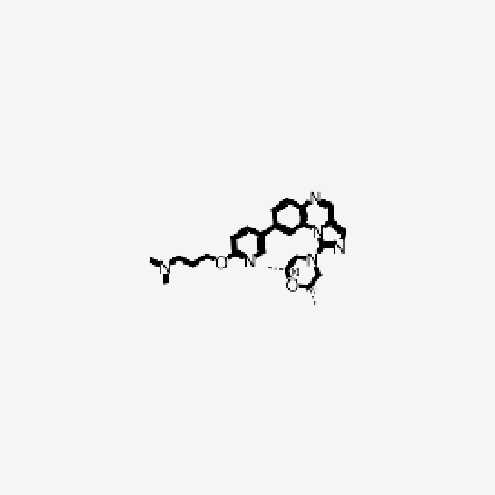 C[C@@H]1CN(c2ncc3cnc4ccc(-c5ccc(OCCCN(C)C)nc5)cc4n23)C[C@H](C)O1